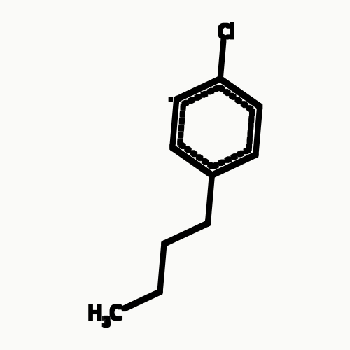 CCCCc1c[c]c(Cl)cc1